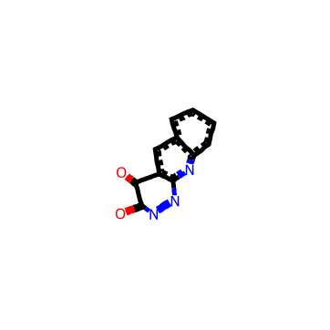 O=C1N=Nc2nc3ccccc3cc2C1=O